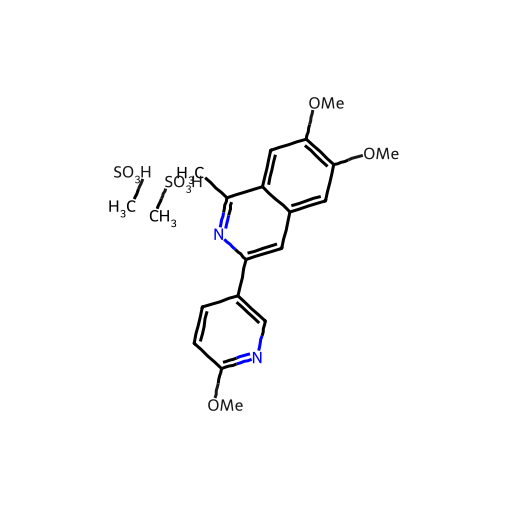 COc1ccc(-c2cc3cc(OC)c(OC)cc3c(C)n2)cn1.CS(=O)(=O)O.CS(=O)(=O)O